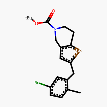 Cc1ccc(Br)cc1Cc1cc2c(s1)CCN(C(=O)OC(C)(C)C)C2